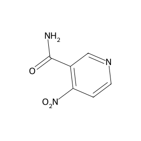 NC(=O)c1cnccc1[N+](=O)[O-]